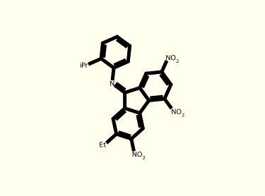 CCc1cc2c(cc1[N+](=O)[O-])-c1c(cc([N+](=O)[O-])cc1[N+](=O)[O-])C2=Nc1ccccc1C(C)C